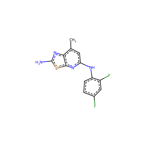 Cc1cc(Nc2ccc(F)cc2F)nc2sc(N)nc12